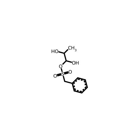 CC(O)C(O)OS(=O)(=O)Cc1ccccc1